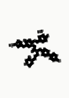 Cl.Cn1cc(Cc2cn(CC(=O)N(CCCN3CCNCC3=O)Cc3ccc(-c4ccc(Cl)cc4)cc3)c(SCc3ccc(F)cc3)nc2=O)cn1